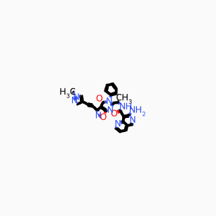 C[C@@H](NC(=O)c1c(N)ncc2cccnc12)c1nc2onc(C#Cc3cnn(C)c3)c2c(=O)n1-c1ccccc1